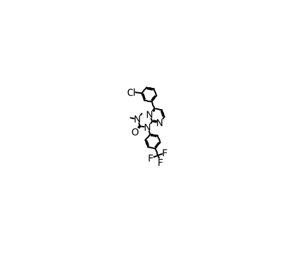 CN(C)C(=O)N(c1ccc(C(F)(F)F)cc1)c1nccc(-c2cccc(Cl)c2)n1